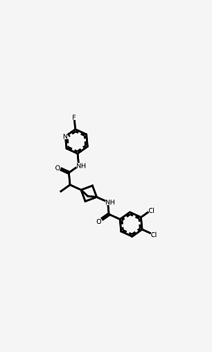 CC(C(=O)Nc1ccc(F)nc1)C12CC(NC(=O)c3ccc(Cl)c(Cl)c3)(C1)C2